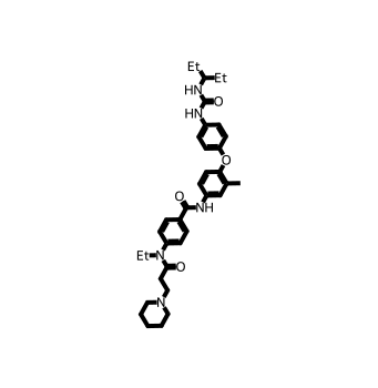 CCC(CC)NC(=O)Nc1ccc(Oc2ccc(NC(=O)c3ccc(N(CC)C(=O)CCN4CCCCC4)cc3)cc2C)cc1